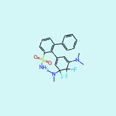 CN(C)C1=CC(c2c(-c3ccccc3)cccc2S(N)(=O)=O)=CC(F)(N(C)C)C1(F)F